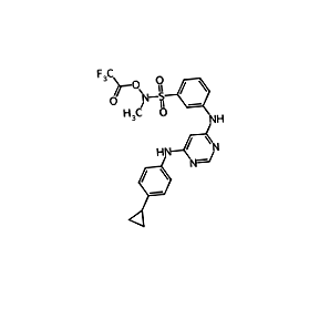 CN(OC(=O)C(F)(F)F)S(=O)(=O)c1cccc(Nc2cc(Nc3ccc(C4CC4)cc3)ncn2)c1